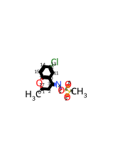 CC1C/C(=N\OS(C)(=O)=O)c2cc(Cl)ccc2O1